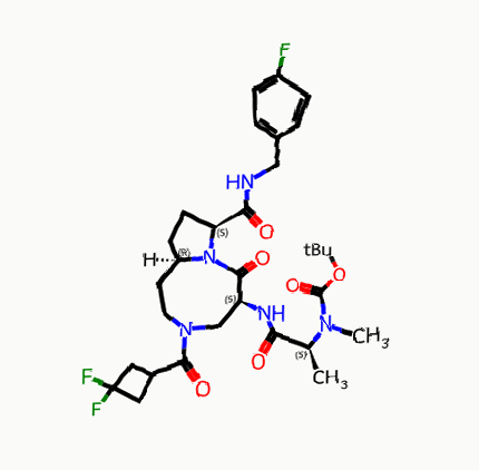 C[C@@H](C(=O)N[C@H]1CN(C(=O)C2CC(F)(F)C2)CC[C@H]2CC[C@@H](C(=O)NCc3ccc(F)cc3)N2C1=O)N(C)C(=O)OC(C)(C)C